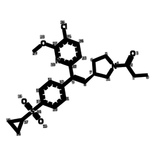 CCC(=O)N1CC[C@H](/C=C(/c2ccc(S(=O)(=O)C3CC3)cc2)c2ccc(Cl)c(OC)n2)C1